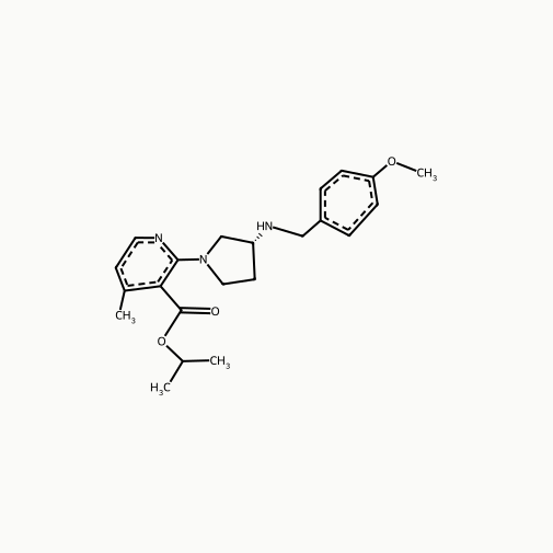 COc1ccc(CN[C@@H]2CCN(c3nccc(C)c3C(=O)OC(C)C)C2)cc1